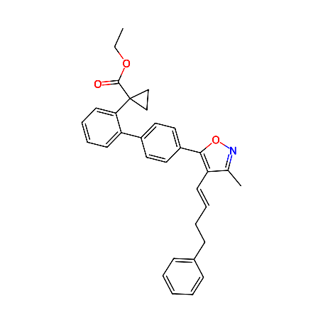 CCOC(=O)C1(c2ccccc2-c2ccc(-c3onc(C)c3C=CCCc3ccccc3)cc2)CC1